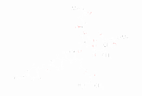 C=C(C)C(=O)OCCCc1cc(-c2ccc(OCc3ccc(CCCCCCCC)cc3)cc2)ccc1OCC(COC(=O)/C=C/C(=O)OC)(COC(=O)/C=C/C(=O)OC)COC(=O)C(=C)C